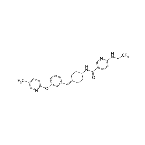 O=C(NC1CCC(=Cc2cccc(Oc3ccc(C(F)(F)F)cn3)c2)CC1)c1ccc(NCC(F)(F)F)nc1